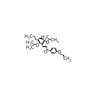 C=CCOc1ccc(C(=O)C=Cc2c(OC(C)C)ccc(CCC)c2OC(C)C)cc1